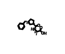 C[C@H](NC(=O)[C@@H]1CC[C@@H](Cc2ccccc2)C1)C(=O)O